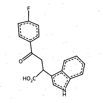 O=C(CC(C(=O)O)c1c[nH]c2ccccc12)c1ccc(F)cc1